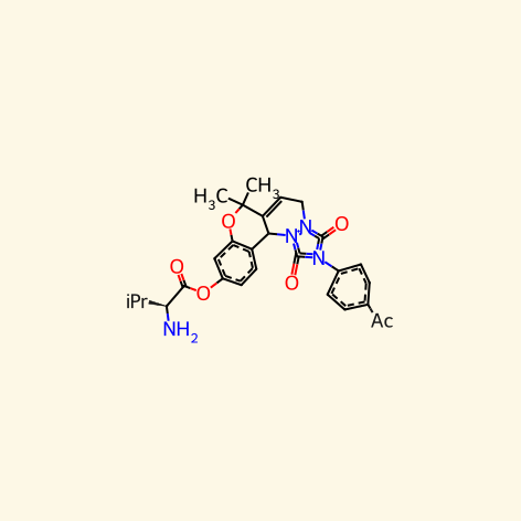 CC(=O)c1ccc(-n2c(=O)n3n(c2=O)C2C(=CC3)C(C)(C)Oc3cc(OC(=O)[C@@H](N)C(C)C)ccc32)cc1